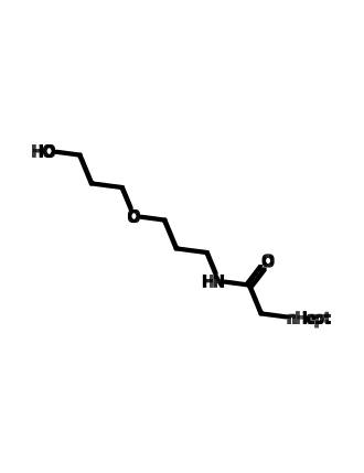 CCCCCCCCC(=O)NCCCOCCCO